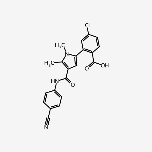 Cc1c(C(=O)Nc2ccc(C#N)cc2)cc(-c2cc(Cl)ccc2C(=O)O)n1C